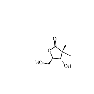 C[C@]1(F)C(=O)O[C@H](CO)[C@H]1O